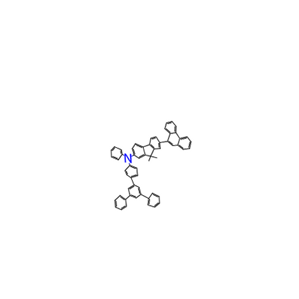 CC1(C)c2cc(-c3cc4ccccc4c4ccccc34)ccc2-c2ccc(N(c3ccccc3)c3ccc(-c4cc(-c5ccccc5)cc(-c5ccccc5)c4)cc3)cc21